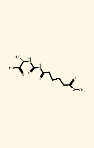 COC(=O)CCCCC(=O)NC(=O)N[C@@H](C)C(=O)O